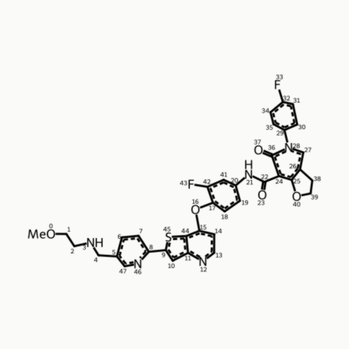 COCCNCc1ccc(-c2cc3nccc(Oc4ccc(NC(=O)c5c6c(cn(-c7ccc(F)cc7)c5=O)CCO6)cc4F)c3s2)nc1